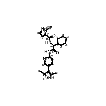 Cc1n[nH]c(C)c1-c1ccc(NC(=O)[C@@H](NC(=O)c2ccnn2C(C)C)C2CCCCC2)nc1